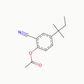 CCC(C)(C)c1ccc(OC(C)=O)c(C#N)c1